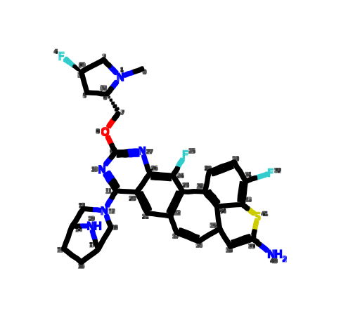 CN1C[C@H](F)C[C@H]1COc1nc(N2CC3CCC(C2)N3)c2cc3c(c(F)c2n1)-c1ccc(F)c2c1C(C=C3)C=C(N)S2